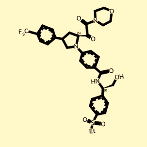 CCS(=O)(=O)c1ccc([C@H](CO)NC(=O)c2ccc(N3CC(c4ccc(C(F)(F)F)cc4)C[C@H]3C(=O)C(=O)N3CCOCC3)cc2)cc1